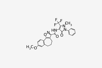 COc1ccc2c(c1)CCCc1c(C(=O)Nc3c(C(F)(F)F)n(C)n(-c4ccccc4)c3=O)noc1-2